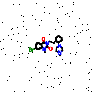 CN1CCN(c2ccccc2CCn2c(=O)c3ccc(Br)cc3n(C)c2=O)CC1